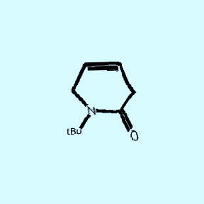 CC(C)(C)N1CC=CCC1=O